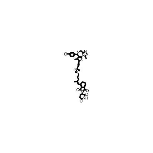 C/C(=C/c1cccc2c1C(=O)N(C1CCC(=O)NC1=O)C2=O)CCCn1cnc(C#Cc2sc3c(c2C)C(c2ccc(Cl)cc2)=NCc2nnc(C)n2-3)c1